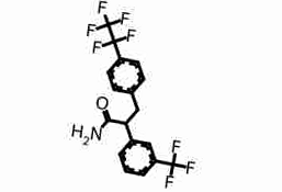 NC(=O)C(Cc1ccc(C(F)(F)C(F)(F)F)cc1)c1cccc(C(F)(F)F)c1